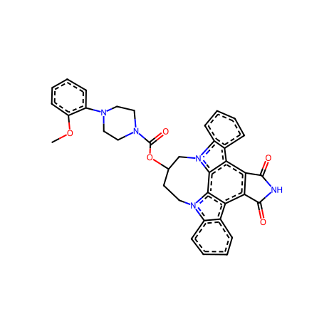 COc1ccccc1N1CCN(C(=O)OC2CCn3c4ccccc4c4c5c(c6c7ccccc7n(c6c43)C2)C(=O)NC5=O)CC1